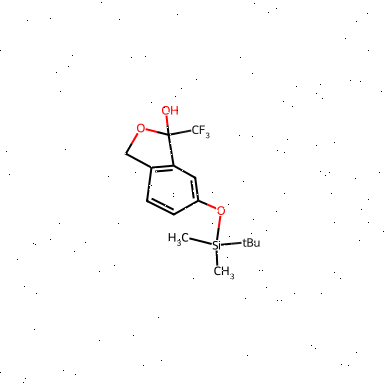 CC(C)(C)[Si](C)(C)Oc1ccc2c(c1)C(O)(C(F)(F)F)OC2